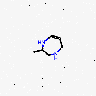 CC1CNCC=CN1